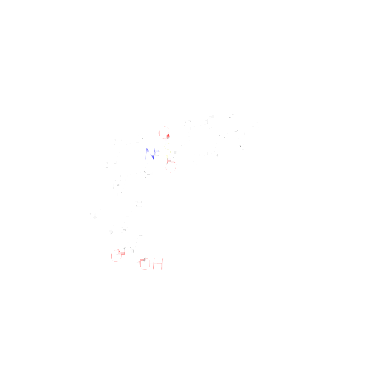 CC(C)(C)c1ccc(S(=O)(=O)N2CCCC(c3cccc(CC(=O)O)c3)C2)cc1